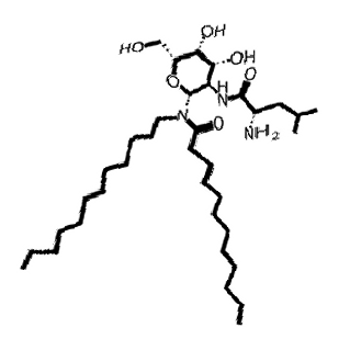 CCCCCCCCCCCCN(C(=O)CCCCCCCCCCC)[C@@H]1O[C@H](CO)[C@H](O)[C@H](O)[C@H]1NC(=O)[C@@H](N)CC(C)C